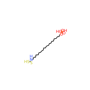 O=P(O)(O)OCCCCCCCCCCCCCCCCCCCCCCNC(=S)S